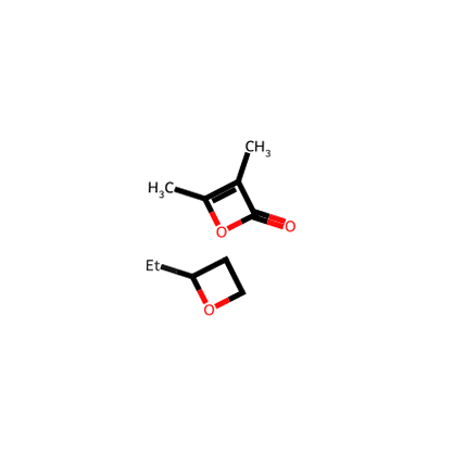 CC1=C(C)C(=O)O1.CCC1CCO1